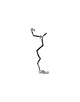 CC(C)COCCCCN(C)CC(C)C